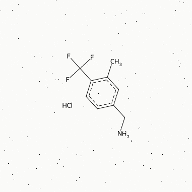 Cc1cc(CN)ccc1C(F)(F)F.Cl